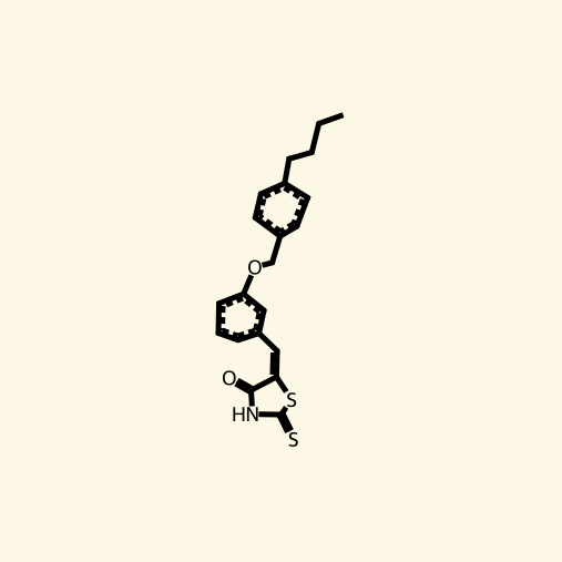 CCCCc1ccc(COc2cccc(C=C3SC(=S)NC3=O)c2)cc1